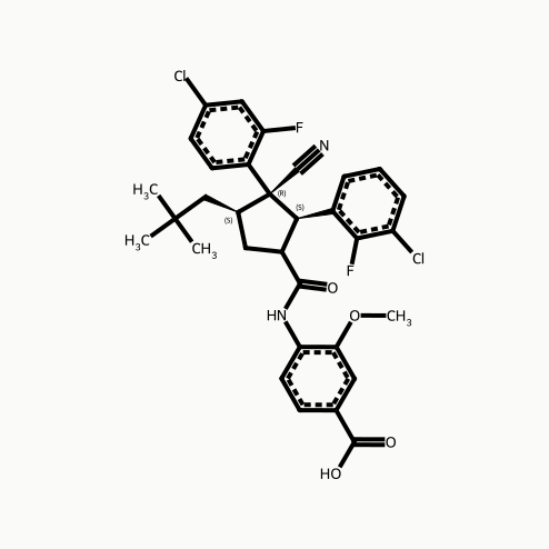 COc1cc(C(=O)O)ccc1NC(=O)C1C[C@@H](CC(C)(C)C)[C@](C#N)(c2ccc(Cl)cc2F)[C@H]1c1cccc(Cl)c1F